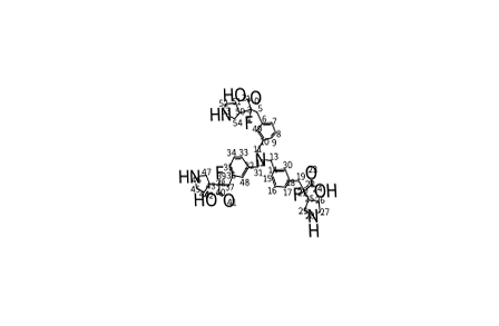 O=C(O)C(F)(Cc1cccc(CN(Cc2cccc(CC(F)(C(=O)O)C3CCNC3)c2)Cc2cccc(CC(F)(C(=O)O)C3CCNC3)c2)c1)C1CCNC1